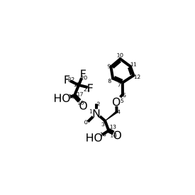 CN(C)[C@@H](COCc1ccccc1)C(=O)O.O=C(O)C(F)(F)F